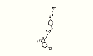 Clc1ccc2[nH]nc(CCCNSc3ccc(OCCCBr)cc3)c2c1